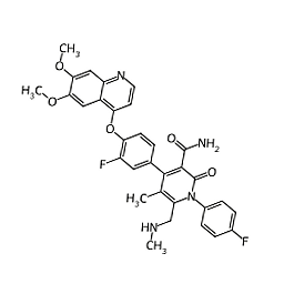 CNCc1c(C)c(-c2ccc(Oc3ccnc4cc(OC)c(OC)cc34)c(F)c2)c(C(N)=O)c(=O)n1-c1ccc(F)cc1